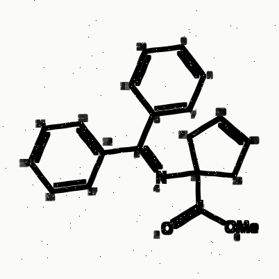 COC(=O)C1(N=C(c2ccccc2)c2ccccc2)CC=CC1